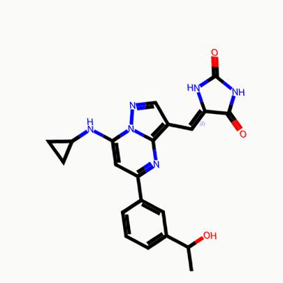 CC(O)c1cccc(-c2cc(NC3CC3)n3ncc(/C=C4\NC(=O)NC4=O)c3n2)c1